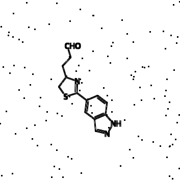 O=CCCC1CSC(c2ccc3[nH]ncc3c2)=N1